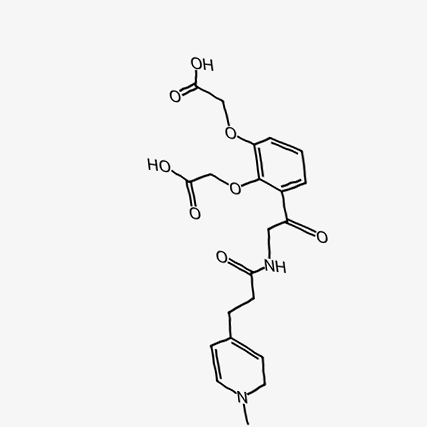 CN1C=CC(CCC(=O)NCC(=O)c2cccc(OCC(=O)O)c2OCC(=O)O)=CC1